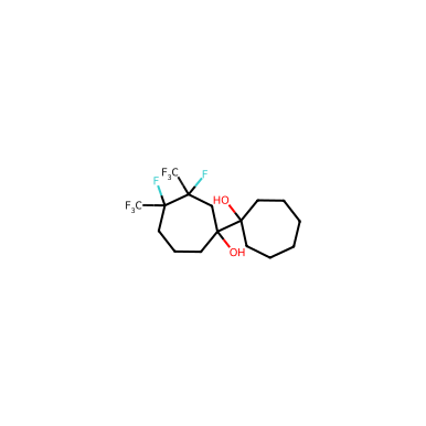 OC1(C2(O)CCCC(F)(C(F)(F)F)C(F)(C(F)(F)F)C2)CCCCCC1